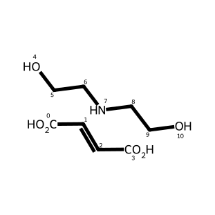 O=C(O)/C=C/C(=O)O.OCCNCCO